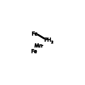 [Fe].[Mn].[PH2][Fe]